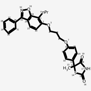 CCCc1c(OCCCOc2ccc(C3(C)SC(=O)NC3=O)cc2)ccc2c(-c3ccccc3)noc12